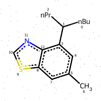 CCCCC(CCC)c1cc(C)cc2scnc12